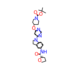 CC(C)(C)OC(=O)N1CCC(Oc2cc(N3CCc4cc(NC(=O)[C@@H]5CCCO5)ccc43)ncn2)CC1